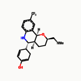 CNC[C@H]1CC[C@@H]2[C@H](O1)c1cc(C(F)(F)F)ccc1N[C@H]2C1C=CC(O)=CC1